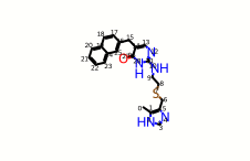 Cc1[nH]cnc1CSCCNc1ncc(Cc2ccc3ccccc3c2)c(=O)[nH]1